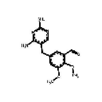 COc1cc(Cc2cnc(N)nc2N)cc(C=O)c1OC